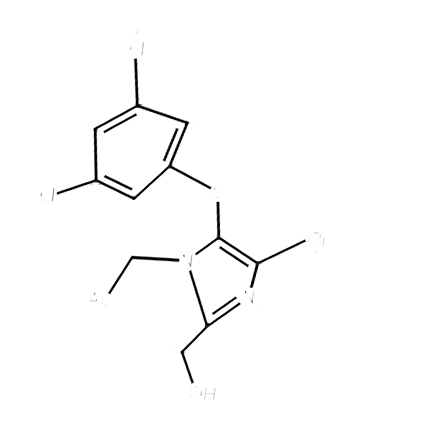 CC(=O)Cn1c(CO)nc(C(C)C)c1Sc1cc(Cl)cc(Cl)c1